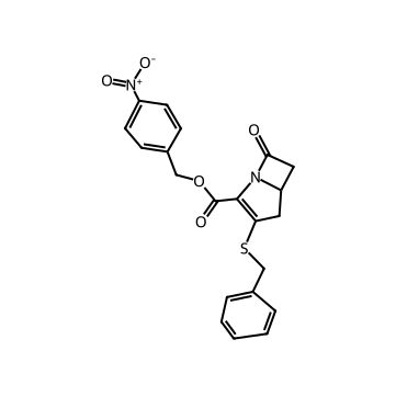 O=C(OCc1ccc([N+](=O)[O-])cc1)C1=C(SCc2ccccc2)CC2CC(=O)N12